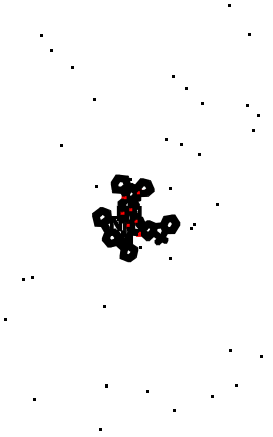 CC1(C)c2ccccc2-c2cc(-c3nc(-c4ccccc4)nc(-n4c5ccccc5c5ccc6c7ccccc7n(-c7cccc(-c8ccc9c%10ccccc%10c%10ccccc%10c9c8)c7)c6c54)n3)ccc21